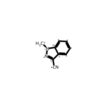 Cn1nc(C#N)c2c[c]ccc21